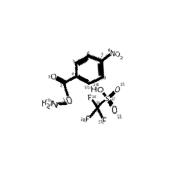 NOC(=O)c1ccc([N+](=O)[O-])cc1.O=S(=O)(O)C(F)(F)F